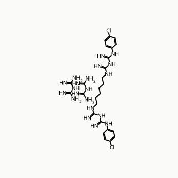 N=C(N)NC(=N)N.N=C(N)NC(=N)N.N=C(NCCCCCCNC(=N)NC(=N)Nc1ccc(Cl)cc1)NC(=N)Nc1ccc(Cl)cc1